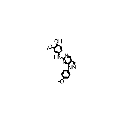 COc1ccc(-n2ncc3cnc(Nc4ccc(O)c(OC)c4)nc32)cc1